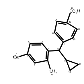 Cc1cc(C(C)(C)C)ccc1C(c1ccc(C(=O)O)cc1)C1CC1